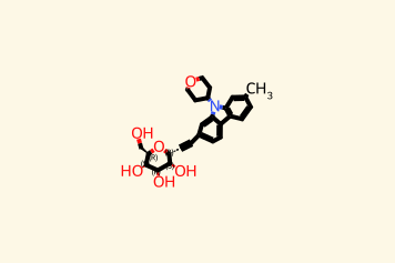 Cc1ccc2c3ccc(C#C[C@H]4O[C@H](CO)[C@@H](O)[C@H](O)[C@@H]4O)cc3n(C3CCOCC3)c2c1